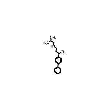 CC(C)CNCCC(C)c1ccc(-c2ccccc2)cc1